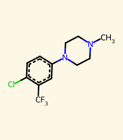 CN1CCN(c2ccc(Cl)c(C(F)(F)F)c2)CC1